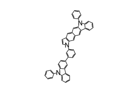 c1ccc(-n2c3ccccc3c3cc(-c4cccc(-n5ccc6cc7cc8c(cc7cc65)c5ccccc5n8-c5ccccc5)c4)ccc32)cc1